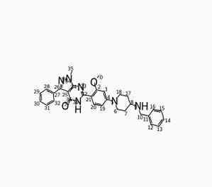 COc1cc(N2CCC(NCc3ccccc3)CC2)ccc1-c1nc2c(c(-c3ccccc3)nn2C)c(=O)[nH]1